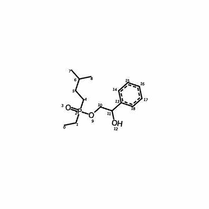 CCP(=O)(CCC(C)C)OCC(O)c1ccccc1